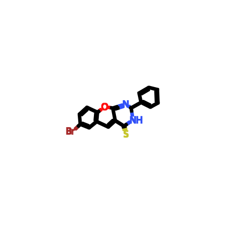 S=C1NC(c2ccccc2)N=C2Oc3ccc(Br)cc3C=C12